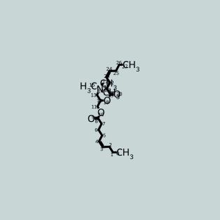 CCC/C=C\CCCC(=O)OCC(C[N+](C)(C)C)OC(=O)CC/C=C\CCC